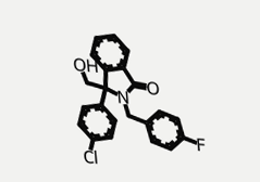 O=C1c2ccccc2C(CO)(c2ccc(Cl)cc2)N1Cc1ccc(F)cc1